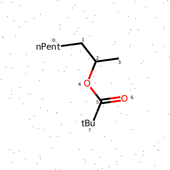 CCCCCCC(C)OC(=O)C(C)(C)C